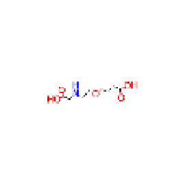 O=C(O)CCCOCCNCC(=O)O